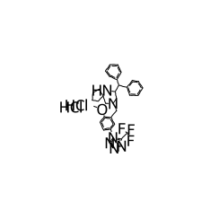 COc1ccc(-n2nnnc2C(F)(F)F)cc1CN1CC(C(c2ccccc2)c2ccccc2)NC2(CCCC2)C1.Cl.Cl